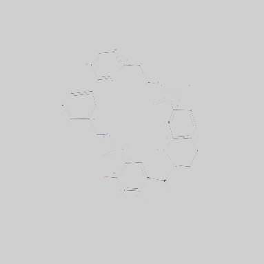 O=C(c1cc(S(=O)(=O)NCc2ccccc2)c(O)c(O)c1O)N1CCc2ccc(S(=O)(=O)NCCc3ccccc3)cc2C1